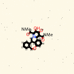 CNC(=O)c1cn(CC2c3ccccc3COc3ccccc32)c(C(=O)NC)c(O)c1=O